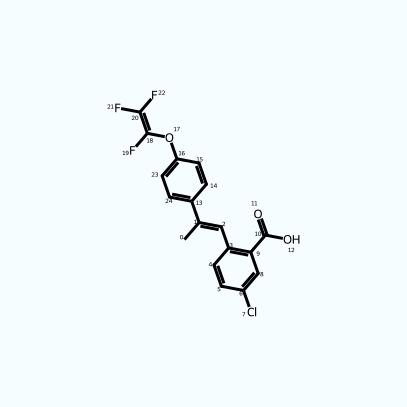 CC(=Cc1ccc(Cl)cc1C(=O)O)c1ccc(OC(F)=C(F)F)cc1